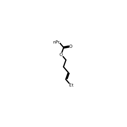 CC/C=C/CCOC(=O)CCC